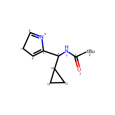 CC(C)(C)C(=O)NC(C1=CCC=N1)C1CC1